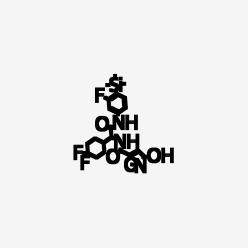 C[Si](C)(C)c1ccc(NC(=O)C(NC(=O)c2cc(O)no2)C2CCC(F)(F)CC2)cc1F